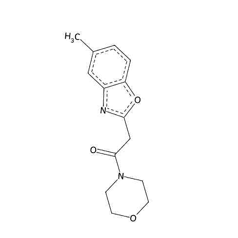 Cc1ccc2oc(CC(=O)N3CCOCC3)nc2c1